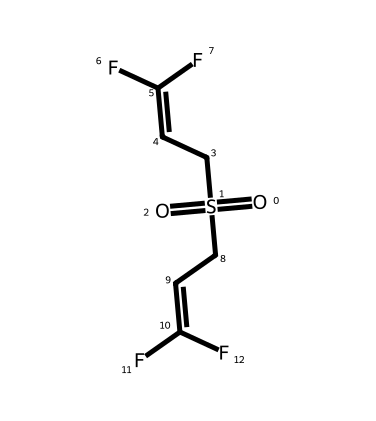 O=S(=O)(CC=C(F)F)CC=C(F)F